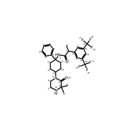 CC(C(=O)NC1(c2ccccc2)CCC(N2CCNC(C)(C)C2=O)CC1)c1cc(C(F)(F)F)cc(C(F)(F)F)c1